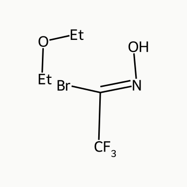 CCOCC.ON=C(Br)C(F)(F)F